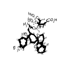 CN(C)CC1CC2(CCC1(O)c1ccc(C(F)(F)F)cc1)OCCc1c2oc2ccccc12.O=C(O)CC(O)(CC(=O)O)C(=O)O